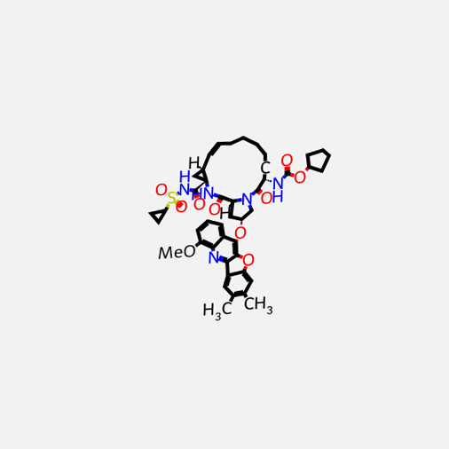 COc1cccc2c(O[C@@H]3C[C@H]4C(=O)N[C@]5(C(=O)NS(=O)(=O)C6CC6)C[C@H]5/C=C\CCCCC[C@H](NC(=O)OC5CCCC5)C(=O)N4C3)c3oc4cc(C)c(C)cc4c3nc12